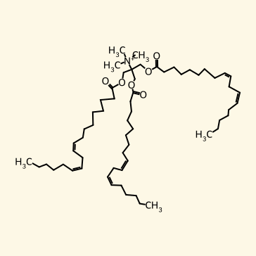 CCCCC/C=C\C/C=C\CCCCCCCC(=O)OCC(COC(=O)CCCCCCC/C=C\C/C=C\CCCCC)(COC(=O)CCCCCCC/C=C\C/C=C\CCCCC)[N+](C)(C)C